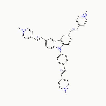 C[n+]1ccc(/C=C/c2ccc(-n3c4ccc(/C=C/c5cc[n+](C)cc5)cc4c4cc(/C=C/c5cc[n+](C)cc5)ccc43)cc2)cc1